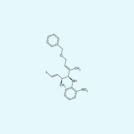 C/C(=C\COCc1ccccc1)[C@@H](Nc1ccccc1[N+](=O)[O-])[C@@H](C)/C=C/I